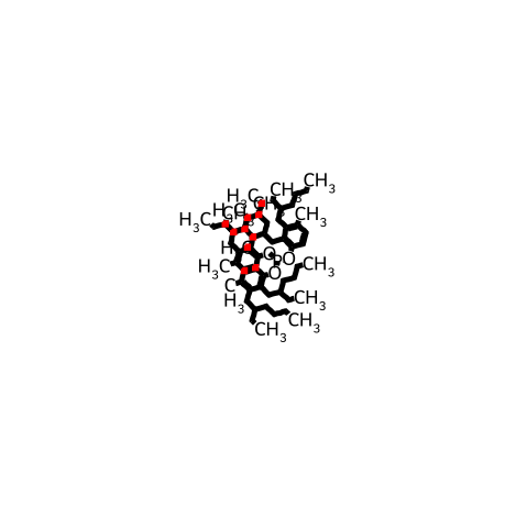 CCCCC(CC)Cc1c(C)ccc(OP(Oc2ccc(C)c(CC(CC)CCCC)c2CC(CC)CCCC)Oc2ccc(C)c(CC(CC)CCCC)c2CC(CC)CCCC)c1CC(CC)CCCC